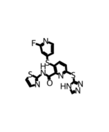 O=C(Nc1nccs1)c1nc(Sc2nnc[nH]2)ccc1Sc1ccnc(F)c1